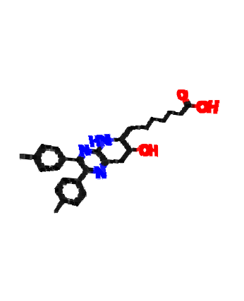 Cc1ccc(-c2nc3c(nc2-c2ccc(C)cc2)NC(CCCCCCC(=O)O)C(O)C3)cc1